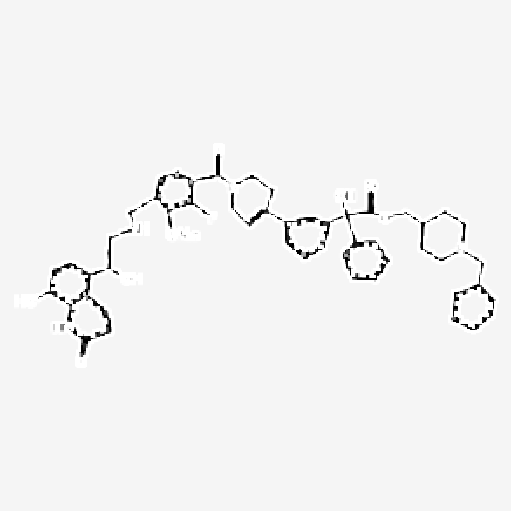 COc1c(CNCC(O)c2ccc(O)c3[nH]c(=O)ccc23)ccc(C(=O)N2CC=C(c3cccc(C(O)(C(=O)OCC4CCN(Cc5ccccc5)CC4)c4ccccc4)c3)CC2)c1F